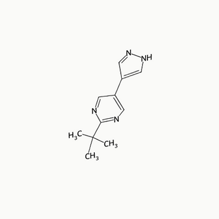 CC(C)(C)c1ncc(-c2cn[nH]c2)cn1